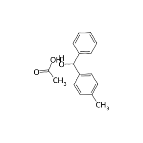 CC(=O)O.Cc1ccc(C(O)c2ccccc2)cc1